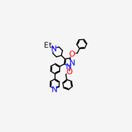 CCN1CCC(c2c(OCc3ccccc3)nn(OCc3ccccc3)c2-c2cccc(-c3ccncc3)c2)CC1